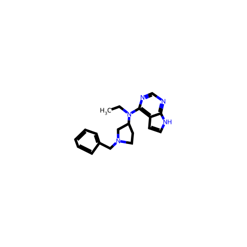 CCN(c1ncnc2[nH]ccc12)C1CCN(Cc2ccccc2)C1